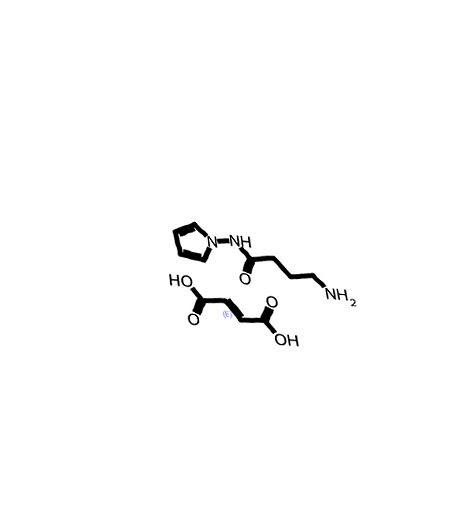 NCCCC(=O)Nn1cccc1.O=C(O)/C=C/C(=O)O